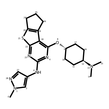 Cn1cc(Nc2nc(O[C@H]3CC[C@H](N(C)C)CC3)c3c4c(sc3n2)CCC4)cn1